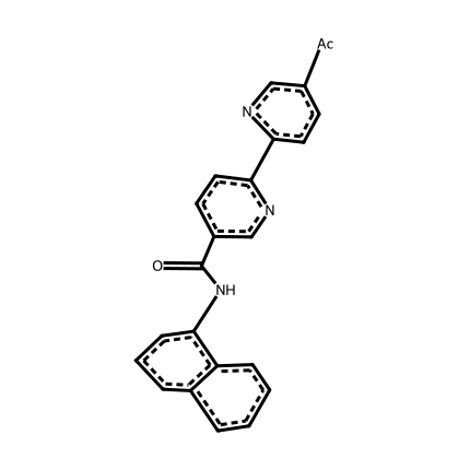 CC(=O)c1ccc(-c2ccc(C(=O)Nc3cccc4ccccc34)cn2)nc1